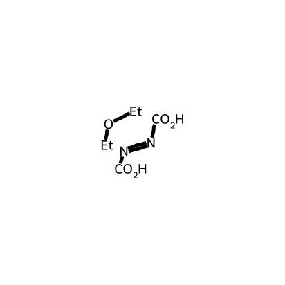 CCOCC.O=C(O)N=NC(=O)O